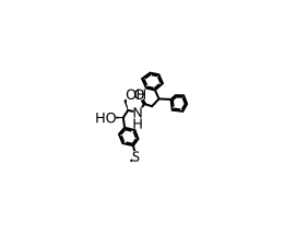 CSc1ccc([C@@H](O)[C@@H](CO)NC(=O)CC(c2ccccc2)c2ccccc2)cc1